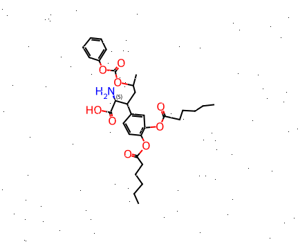 CCCCCC(=O)Oc1ccc(C(CC(C)OC(=O)Oc2ccccc2)[C@H](N)C(=O)O)cc1OC(=O)CCCCC